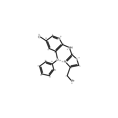 CC(C)Cc1csc(Nc2ncc(Cl)cc2Oc2ccccc2)n1